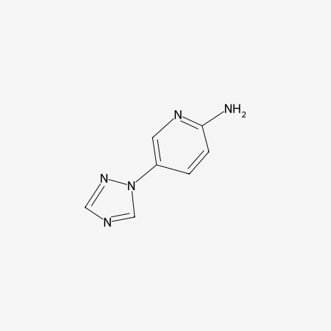 Nc1ccc(-n2cncn2)cn1